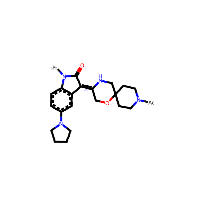 CC(=O)N1CCC2(CC1)CN/C(=C1\C(=O)N(C(C)C)c3ccc(N4CCCC4)cc31)CO2